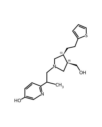 CC(CN1C[C@@H](CCc2cccs2)[C@@H](CO)C1)c1ccc(O)cn1